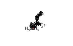 COC(=O)N(C)C(/C=C/c1ccc(-c2ncn(-c3ccc(OC(F)(F)F)cc3)n2)cc1)NC(=S)/N=C1\SCC(=O)N1c1cc(C)ccc1C(C)C